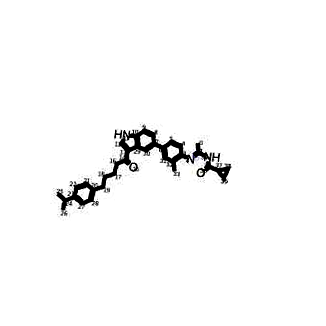 C/C(=N\c1ccc(-c2ccc3[nH]cc(C(=O)CCCCc4ccc(C(C)C)cc4)c3c2)cc1C)NC(=O)C1CC1